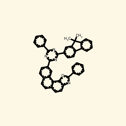 CC1(C)c2ccccc2-c2ccc(-c3nc(-c4ccccc4)nc(-c4ccc5ccc6ccc7nc(-c8ccccc8)oc7c6c5c4)n3)cc21